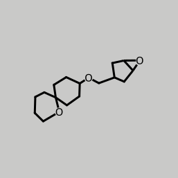 C1CCC2(CCC(OCC3CC4OC4C3)CC2)OC1